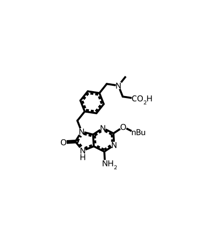 CCCCOc1nc(N)c2[nH]c(=O)n(Cc3ccc(CN(C)CC(=O)O)cc3)c2n1